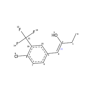 CC/C(O)=C/c1ccc(Cl)c(C(F)(F)F)c1